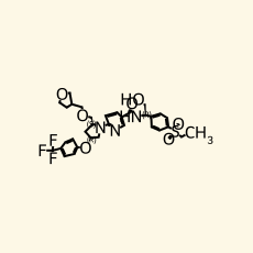 CCS(=O)(=O)c1ccc([C@H](CO)NC(=O)c2ccc(N3C[C@H](Oc4ccc(C(F)(F)F)cc4)C[C@H]3COCC3CCOC3)nc2)cc1